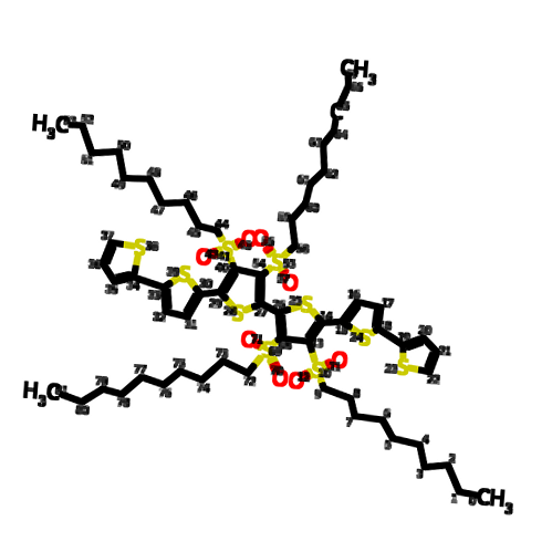 CCCCCCCCCCS(=O)(=O)c1c(-c2ccc(-c3cccs3)s2)sc(-c2sc(-c3ccc(-c4cccs4)s3)c(S(=O)(=O)CCCCCCCCCC)c2S(=O)(=O)CCCCCCCCCC)c1S(=O)(=O)CCCCCCCCCC